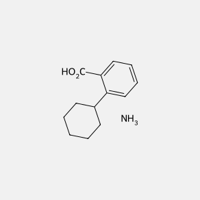 N.O=C(O)c1ccccc1C1CCCCC1